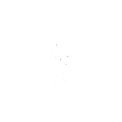 CC(C)=CCC(C)(C)[C@H](O)C=C[C@@H]1C(CCCCCCC(=O)O)=CC[C@H]1O